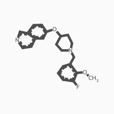 COc1c(F)cccc1CN1CCC(Oc2ccc3cnccc3c2)CC1